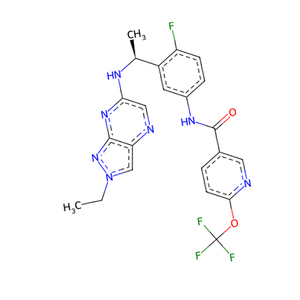 CCn1cc2ncc(N[C@@H](C)c3cc(NC(=O)c4ccc(OC(F)(F)F)nc4)ccc3F)nc2n1